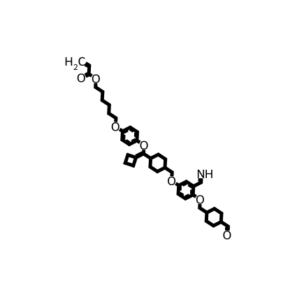 C=CC(=O)OCCCCCCOc1ccc(OC(=C2CCC2)C2CCC(COc3ccc(OCC4CCC(C=O)CC4)c(C=N)c3)CC2)cc1